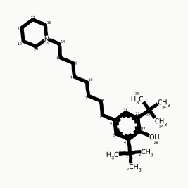 CC(C)(C)c1cc(CCCCCCCCN2CCCCC2)cc(C(C)(C)C)c1O